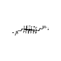 BCCCC(F)(F)C(F)(F)C(F)(F)C(F)(F)C(F)(F)C(F)(F)CCCB